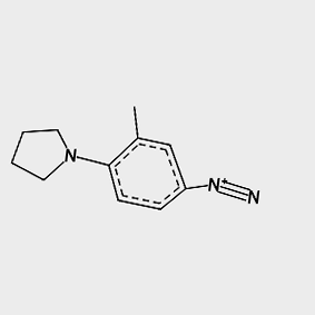 Cc1cc([N+]#N)ccc1N1CCCC1